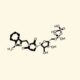 Cn1nc(Cn2c(=O)ccn([C@@H]3O[C@H](COP(=O)(O)OP(=O)(O)O)[C@H](O)C3O)c2=O)c2ccccc21